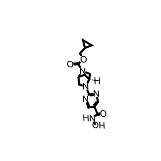 O=C(NO)c1cnc(N2CC3C[C@H]2CN3C(=O)OCC2CC2)nc1